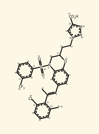 CC(=Cc1ccc2c(c1)N(S(=O)(=O)c1cccc(C(F)(F)F)c1)CC(CCn1cc(C(=O)O)nn1)O2)c1c(F)cccc1Cl